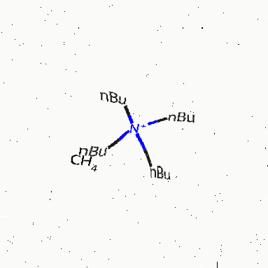 C.CCCC[N+](CCCC)(CCCC)CCCC